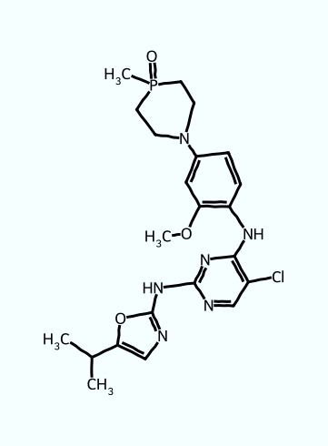 COc1cc(N2CCP(C)(=O)CC2)ccc1Nc1nc(Nc2ncc(C(C)C)o2)ncc1Cl